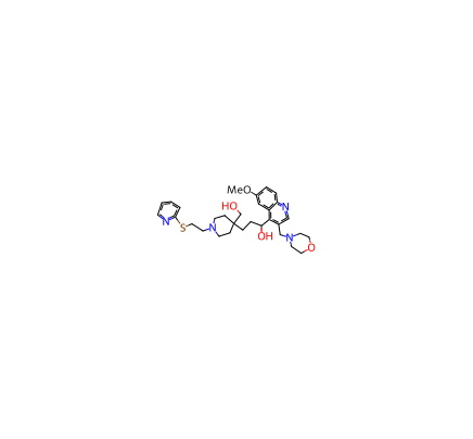 COc1ccc2ncc(CN3CCOCC3)c([C@@H](O)CCC3(CO)CCN(CCSc4ccccn4)CC3)c2c1